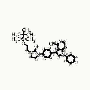 CC(C)(C)[Si](C)(C)OCCN1CCN(c2ccc(-c3cn(-c4ccccc4)c4ncnc(Cl)c34)cc2)C1=O